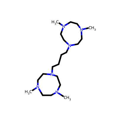 CN1CCN(C)CCN(CCCCN2CCN(C)CCN(C)CC2)CC1